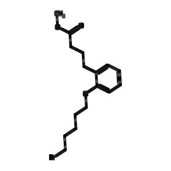 COC(=O)CCCc1ccccc1OCCCCCBr